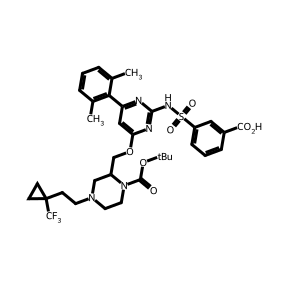 Cc1cccc(C)c1-c1cc(OCC2CN(CCC3(C(F)(F)F)CC3)CCN2C(=O)OC(C)(C)C)nc(NS(=O)(=O)c2cccc(C(=O)O)c2)n1